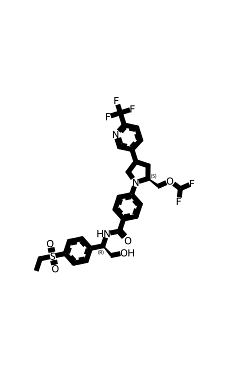 CCS(=O)(=O)c1ccc([C@H](CO)NC(=O)c2ccc(N3CC(c4ccc(C(F)(F)F)nc4)C[C@H]3COC(F)F)cc2)cc1